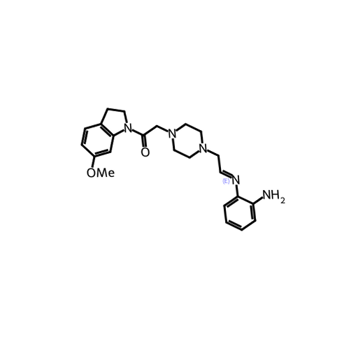 COc1ccc2c(c1)N(C(=O)CN1CCN(C/C=N/c3ccccc3N)CC1)CC2